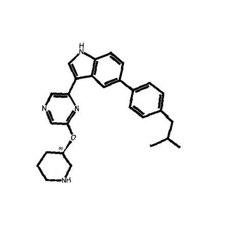 CC(C)Cc1ccc(-c2ccc3[nH]cc(-c4cncc(O[C@@H]5CCCNC5)n4)c3c2)cc1